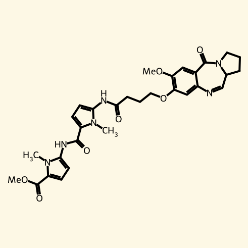 COC(=O)c1ccc(NC(=O)c2ccc(NC(=O)CCCOc3cc4c(cc3OC)C(=O)N3CCCC3C=N4)n2C)n1C